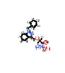 CC(C)(OCc1nn(Cc2ccccc2)c2ccccc12)C(=O)NO